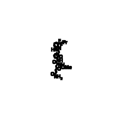 COC(=O)N[C@@H](CC/C=C/C(N)=O)C(=O)Nc1cccn(Cc2nc3c(C(F)(F)C(C)C)cccc3[nH]2)c1=O